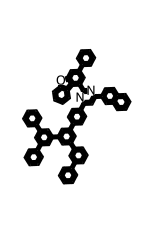 c1ccc(-c2cccc(-c3cc(-c4ccc(-c5cc(-c6ccc7ccccc7c6)nc(-c6cc(-c7ccccc7)cc7oc8ccccc8c67)n5)cc4)cc(-c4cc(-c5ccccc5)cc(-c5ccccc5)c4)c3)c2)cc1